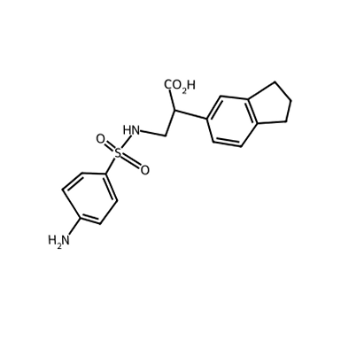 Nc1ccc(S(=O)(=O)NCC(C(=O)O)c2ccc3c(c2)CCC3)cc1